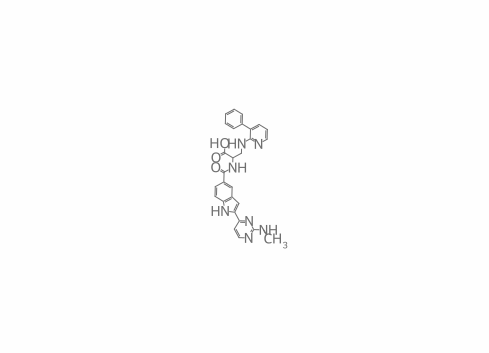 CNc1nccc(-c2cc3cc(C(=O)NC(CNc4ncccc4-c4ccccc4)C(=O)O)ccc3[nH]2)n1